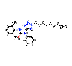 CC(C)c1cccc(C(C)C)c1NC(=O)N(c1ccccc1)c1nnn(CCCCCCCC=O)n1